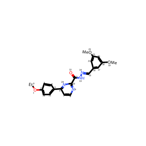 CCOc1ccc(-c2ccnc(C(=O)N/N=C/c3cc(OC)cc(OC)c3)n2)cc1